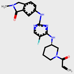 C=CC(=O)N1CCC[C@@H](Nc2nc(Nc3ccc4c(c3)C(=O)N(C)C4)ncc2F)C1